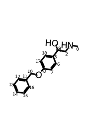 CNC[C@H](O)c1ccc(OCc2ccccc2)cc1